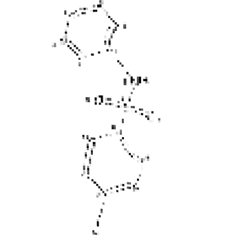 O=S(=O)(Nc1cccnc1)c1ccc(I)cc1